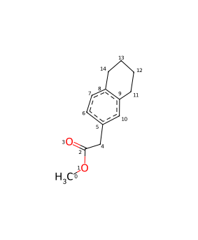 COC(=O)Cc1ccc2c(c1)CCCC2